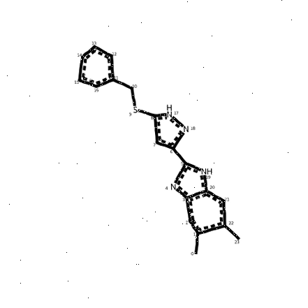 Cc1cc2nc(-c3cc(SCc4ccccc4)[nH]n3)[nH]c2cc1C